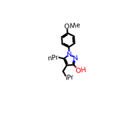 CCCc1c(CC(C)C)c(O)nn1-c1ccc(OC)cc1